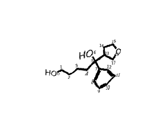 OCCCCC(O)(c1ccccc1)C1CCOC1